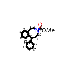 COC(=O)N1CCc2ccccc2C(c2ccccc2)CC1